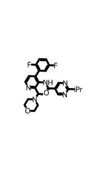 CC(C)c1ncc(C(=O)Nc2c(-c3cc(F)ccc3F)ccnc2C(C)N2CCOCC2)cn1